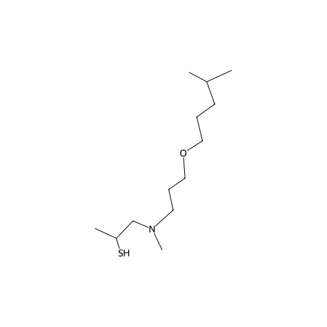 CC(C)CCCOCCCN(C)CC(C)S